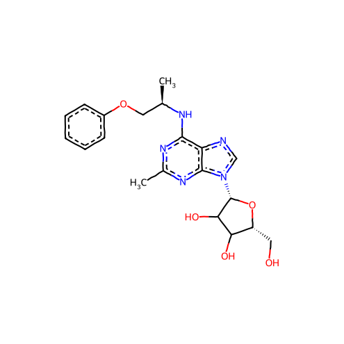 Cc1nc(N[C@H](C)COc2ccccc2)c2ncn([C@@H]3O[C@H](CO)C(O)C3O)c2n1